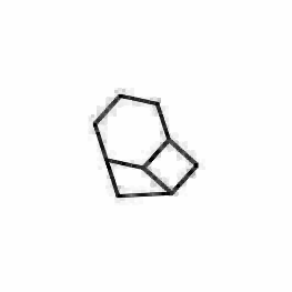 C1CC2CC3CC(C1)C23